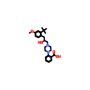 COc1ccc(CC(O)CN2CCN(c3ccccc3C(=O)O)CC2)c(C(C)(C)C)c1